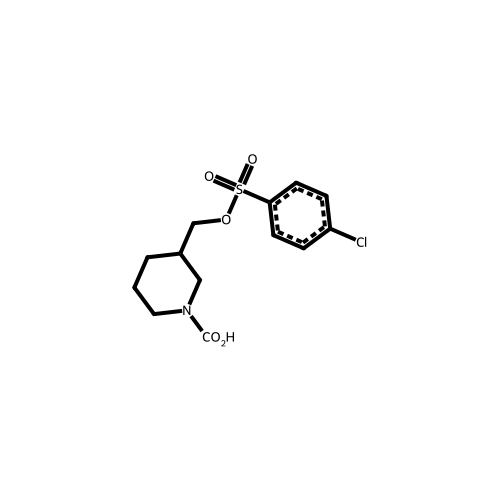 O=C(O)N1CCCC(COS(=O)(=O)c2ccc(Cl)cc2)C1